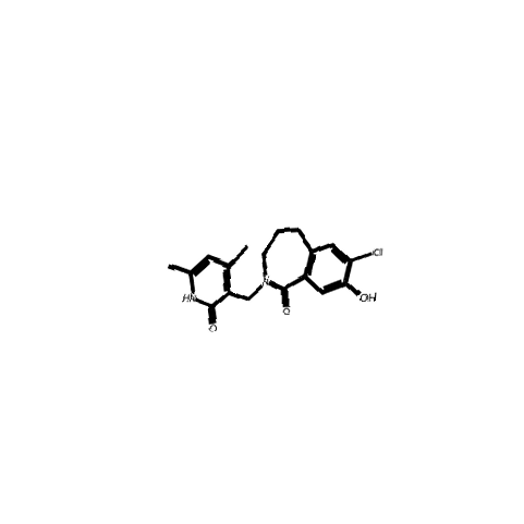 Cc1cc(C)c(CN2CCCc3cc(Cl)c(O)cc3C2=O)c(=O)[nH]1